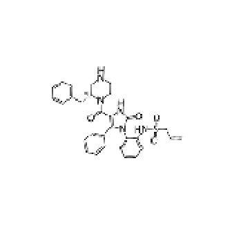 C=CCS(=O)(=O)Nc1ccccc1-n1c(-c2ccccc2)c(C(=O)N2CCNC[C@H]2Cc2ccccc2)[nH]c1=O